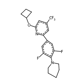 Fc1cc(-c2cc(C(F)(F)F)cc(OC3CCC3)n2)cc(F)c1N1CCCCC1